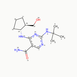 CC(C)(C)Nc1ncc(C(N)=O)c(N[C@@H]2CCC[C@H]2CO)n1